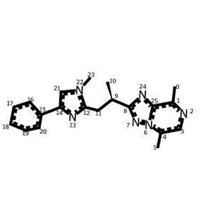 Cc1ncc(C)n2nc([C@H](C)Cc3nc(-c4ccccc4)cn3C)nc12